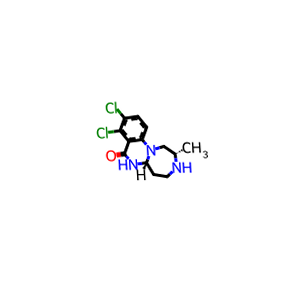 C[C@H]1CN2c3ccc(Cl)c(Cl)c3C(=O)N[C@H]2CCN1